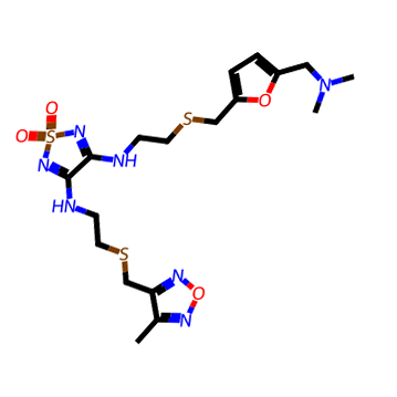 Cc1nonc1CSCCNC1=NS(=O)(=O)N=C1NCCSCc1ccc(CN(C)C)o1